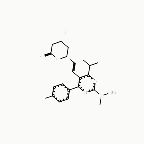 CC(C)c1nc(N(C)N)nc(-c2ccc(F)cc2)c1/C=C/[C@@H]1C[C@@H](O)CC(=O)O1